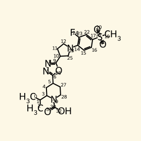 CC(C)C1CC(c2nnc(C3CCN(c4ccc(S(C)(=O)=O)cc4F)C3)o2)CCN1C(=O)O